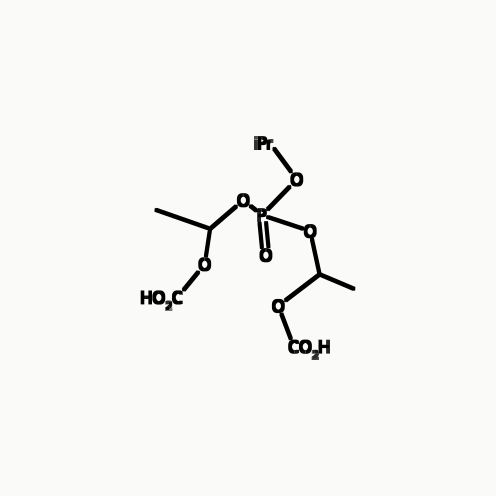 CC(C)OP(=O)(OC(C)OC(=O)O)OC(C)OC(=O)O